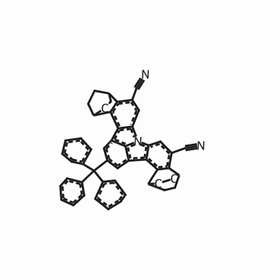 N#Cc1cc2c(c3c1C1CCC3CC1)c1cc(C(c3ccccc3)(c3ccccc3)c3ccccc3)cc3c4c5c(c(C#N)cc4n2c13)C1CCC5CC1